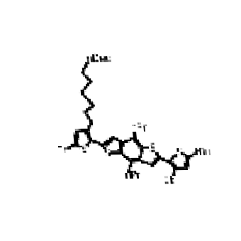 CCCCCCCCCCCCCCCCc1cc(CC)sc1-c1cc2c(CCC)c3sc(-c4sc(C(C)(C)C)cc4CC)cc3c(CCC)c2s1